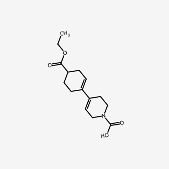 CCOC(=O)C1CC=C(C2=CCN(C(=O)O)CC2)CC1